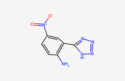 Nc1ccc([N+](=O)[O-])cc1-c1nnn[nH]1